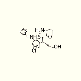 N[C@H]1CCCO[C@@H]1c1sc2c(NCc3cccs3)cc(Cl)nc2c1C#CCO